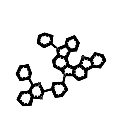 c1ccc(-c2nc(-c3cccc(-n4c5ccc6c7ccccc7oc6c5c5c6c7ccccc7n(-c7ccccc7)c6ccc54)c3)nc3ccccc23)cc1